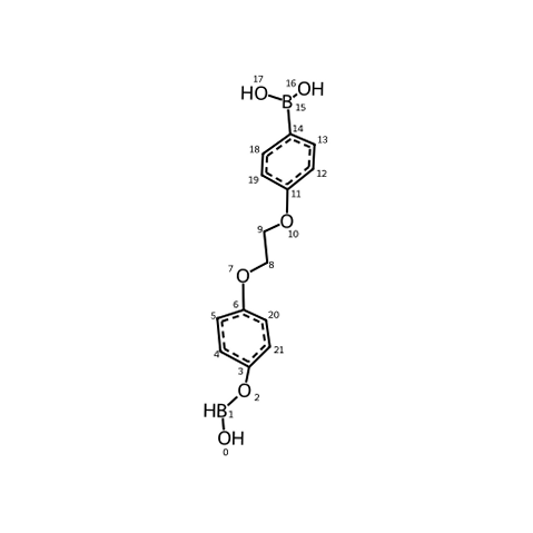 OBOc1ccc(OCCOc2ccc(B(O)O)cc2)cc1